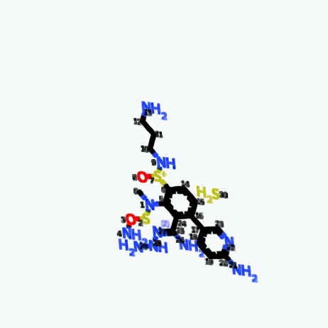 CN(SON)c1c([S+]([O-])NCCCN)ccc(-c2ccc(N)nc2)c1/C(N)=N/NN.S